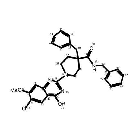 COc1cc2nc(N3CCC(Cc4ccccc4)(C(=O)NCc4ccccc4)CC3)nc(O)c2cc1Cl